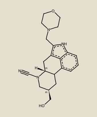 N#CN1C[C@H](CO)CC2c3cccc4[nH]c(CN5CCOCC5)c(c34)C[C@H]21